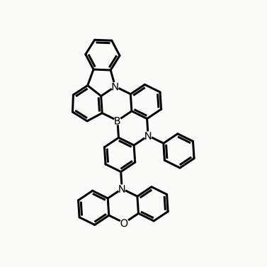 c1ccc(N2c3cc(N4c5ccccc5Oc5ccccc54)ccc3B3c4c2cccc4-n2c4ccccc4c4cccc3c42)cc1